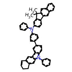 CC1(C)c2cc(N(c3ccccc3)c3ccc(-c4ccc5c(c4)c4cc6c(cc4n5-c4ccccc4)CCC=C6)cc3)ccc2-c2cc3ccccc3cc21